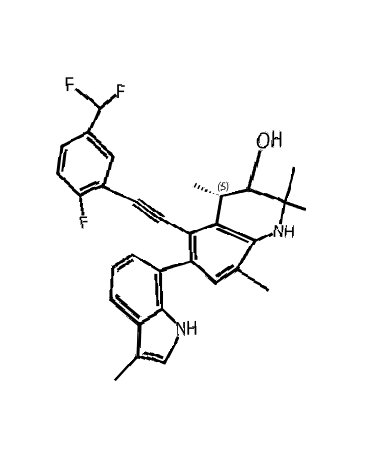 Cc1cc(-c2cccc3c(C)c[nH]c23)c(C#Cc2cc(C(F)F)ccc2F)c2c1NC(C)(C)C(O)[C@H]2C